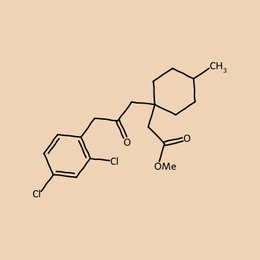 COC(=O)CC1(CC(=O)Cc2ccc(Cl)cc2Cl)CCC(C)CC1